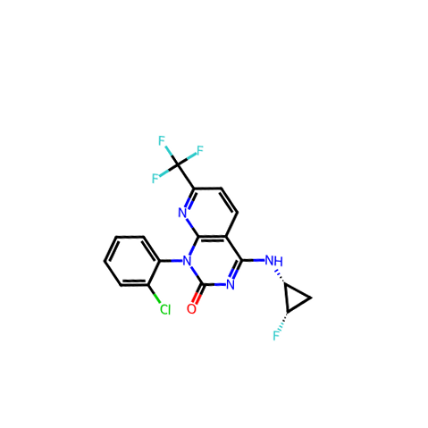 O=c1nc(N[C@@H]2C[C@@H]2F)c2ccc(C(F)(F)F)nc2n1-c1ccccc1Cl